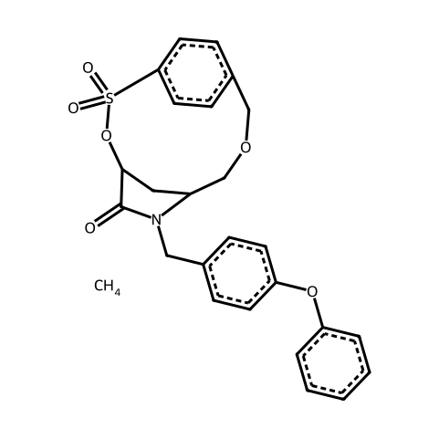 C.O=C1C2CC(COCc3ccc(cc3)S(=O)(=O)O2)N1Cc1ccc(Oc2ccccc2)cc1